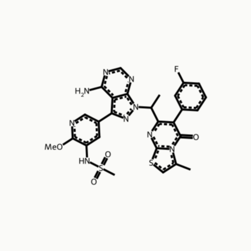 COc1ncc(-c2nn(C(C)c3nc4scc(C)n4c(=O)c3-c3cccc(F)c3)c3ncnc(N)c23)cc1NS(C)(=O)=O